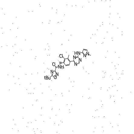 Cc1c(-c2ncnc(Nc3ccn(C)n3)n2)ccc([C@@H](C)NC(=O)c2noc(C(C)(C)C)n2)c1Cl